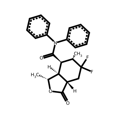 C[C@H]1OC(=O)[C@H]2CC(F)(F)[C@@H](C)[C@H](C(=O)N(c3ccccc3)c3ccccc3)[C@@H]21